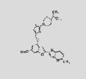 COc1cc(OCc2csc(N3CCC(N(C)C)CC3)n2)c2cc(-c3cn4nc(C)ccc4n3)oc2c1